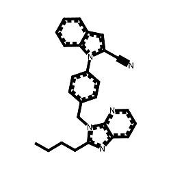 CCCCc1nc2cccnc2n1Cc1ccc(-n2c(C#N)cc3ccccc32)cc1